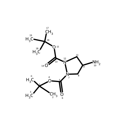 CC(C)(C)OC(=O)N1CC(N)CN1C(=O)OC(C)(C)C